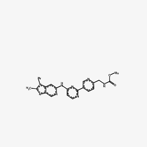 Cc1nc2cnc(Nc3ccnc(-c4ccc(CNC(=O)OC(C)(C)C)nc4)n3)cc2n1C(C)C